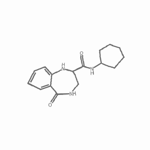 O=C1NCC(C(=O)NC2CCCCC2)Nc2ccccc21